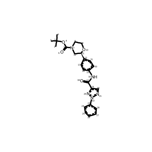 CC(C)(C)OC(=O)N1CCO[C@@H](c2ccc(NC(=O)c3cnn(-c4ccccc4)n3)cc2)C1